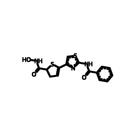 O=C(Nc1nc(C2=CCC(C(=O)NO)S2)cs1)c1ccccc1